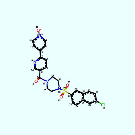 O=C(c1ccc(-c2cc[n+]([O-])cc2)nc1)N1CCN(S(=O)(=O)c2ccc3cc(Cl)ccc3c2)CC1